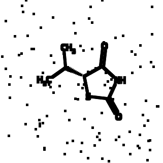 CC(C)[C@H]1SC(=O)NC1=O